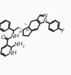 C[C@]12Cc3cnn(-c4ccc(F)cc4)c3C=C1CC[C@@H]2CC(NC(=O)C1=CC=CNC1N)c1ccccc1